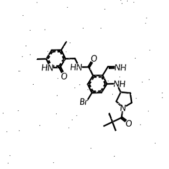 Cc1cc(C)c(CNC(=O)c2cc(Br)cc(NC3CCN(C(=O)C(C)(C)C)C3)c2C=N)c(=O)[nH]1